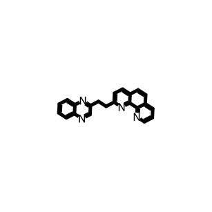 c1cnc2c(c1)ccc1ccc(CCc3cnc4ccccc4n3)nc12